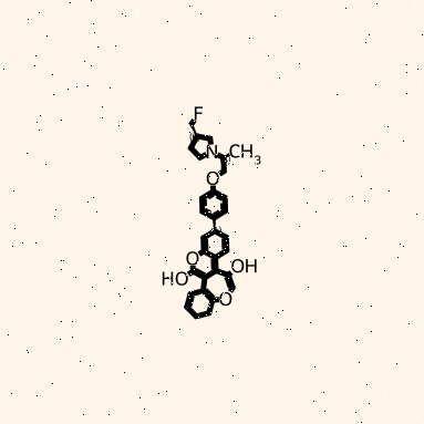 C[C@@H](COc1ccc([C@H]2C=CC3=C4C(O)=COC5=C(C=CCC5)C4=C(O)OC3=C2)cc1)N1CC[C@@H](CF)C1